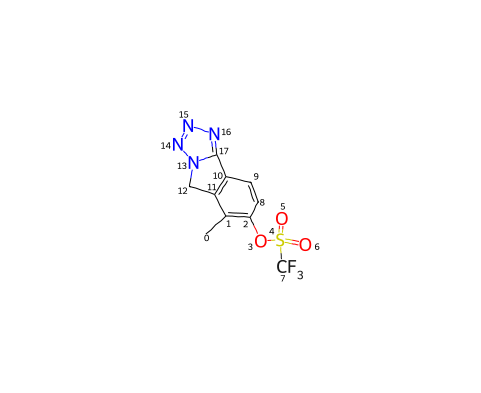 Cc1c(OS(=O)(=O)C(F)(F)F)ccc2c1Cn1nnnc1-2